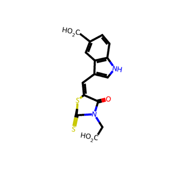 O=C(O)CN1C(=O)C(=Cc2c[nH]c3ccc(C(=O)O)cc23)SC1=S